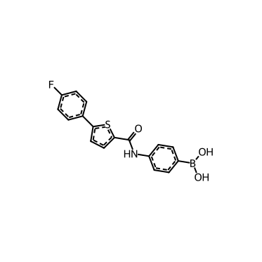 O=C(Nc1ccc(B(O)O)cc1)c1ccc(-c2ccc(F)cc2)s1